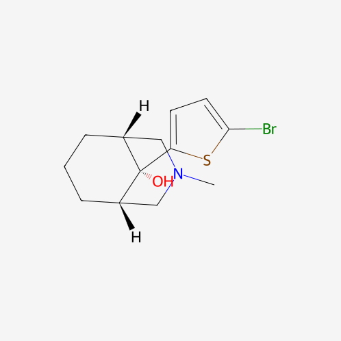 CN1C[C@H]2CCC[C@@H](C1)[C@]2(O)c1ccc(Br)s1